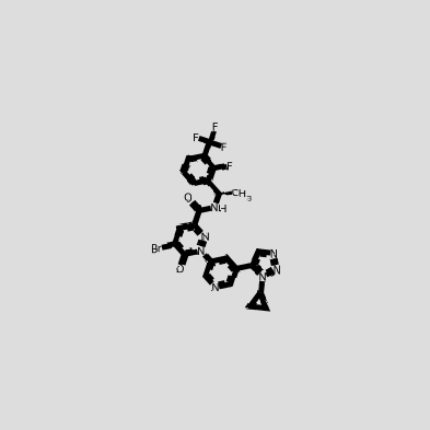 C[C@@H](NC(=O)c1cc(Br)c(=O)n(-c2cncc(-c3cnnn3C3CC3)c2)n1)c1cccc(C(F)(F)F)c1F